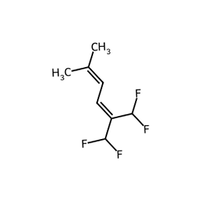 CC(C)=CC=C(C(F)F)C(F)F